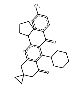 O=C1CC2(CC2)Cc2nc(C3CCCC3)c(C(=O)c3ccc(C(F)(F)F)cc3)c(C3CCCCC3)c21